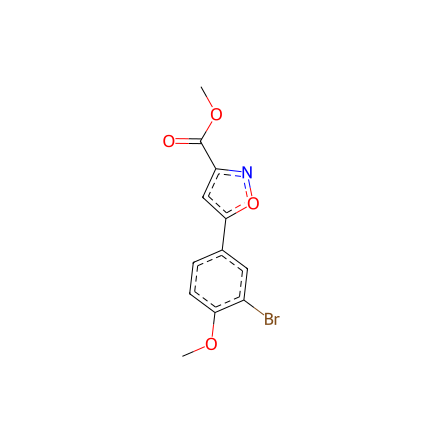 COC(=O)c1cc(-c2ccc(OC)c(Br)c2)on1